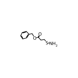 NSCCC(=O)OCc1ccccc1